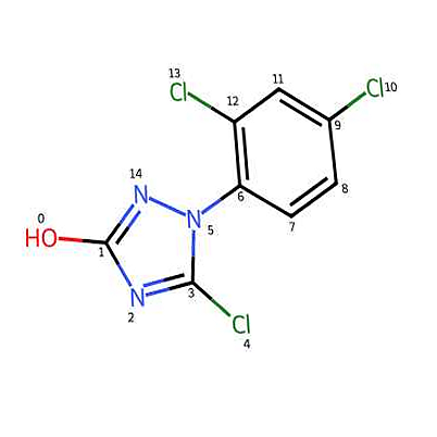 Oc1nc(Cl)n(-c2ccc(Cl)cc2Cl)n1